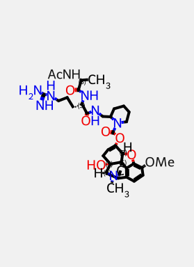 COc1ccc2c3c1O[C@H]1C(OC(=O)N4CCCCC4CNC(=O)[C@H](CCCNC(=N)N)NC(=O)[C@H](C)NC(C)=O)=CC[C@@]4(O)[C@@H](C2)N(C)CC[C@]314